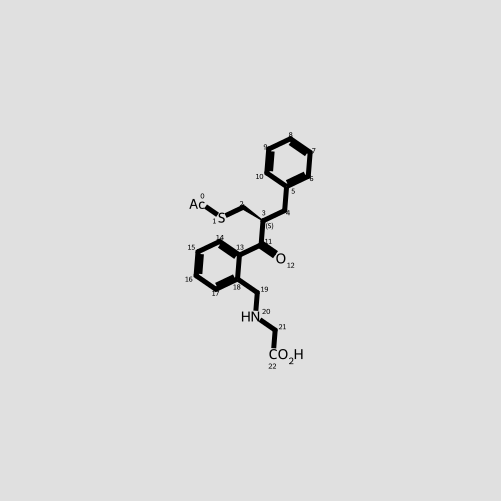 CC(=O)SC[C@@H](Cc1ccccc1)C(=O)c1ccccc1CNCC(=O)O